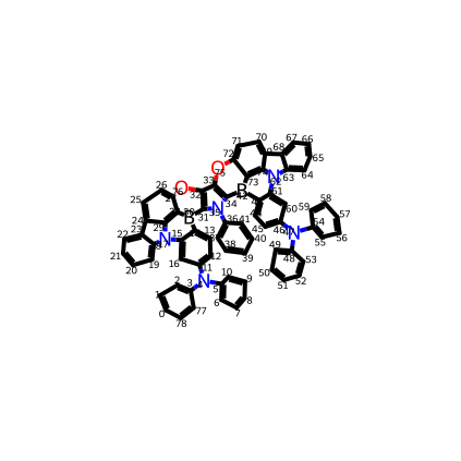 c1ccc(N(c2ccccc2)c2ccc3c(c2)-n2c4ccccc4c4ccc5c(c42)B3c2c(c3c(n2-c2ccccc2)B2c4ccc(N(c6ccccc6)c6ccccc6)cc4-n4c6ccccc6c6ccc(c2c64)O3)O5)cc1